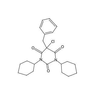 O=C1N(C2CCCCC2)C(=O)C(Cl)(Cc2ccccc2)C(=O)N1C1CCCCC1